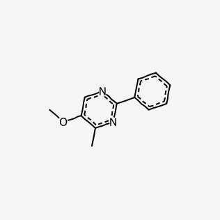 COc1cnc(-c2ccccc2)nc1C